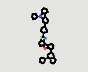 c1ccc(-c2cc(-c3cccc4c3oc3ccc5sc(-c6ccc(-c7ccc8c9ccccc9n(-c9ccccc9)c8c7)cc6)nc5c34)cc3ccccc23)cc1